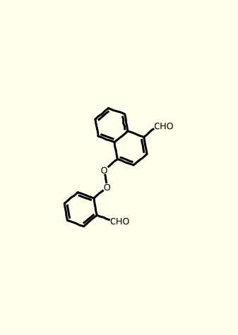 O=Cc1ccccc1OOc1ccc(C=O)c2ccccc12